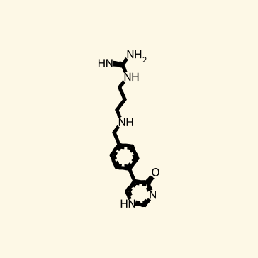 N=C(N)NCCCNCc1ccc(-c2c[nH]cnc2=O)cc1